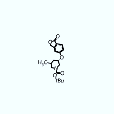 C[C@H]1C[C@H](Oc2ccc3c(c2)COC3=O)CN(C(=O)OC(C)(C)C)C1